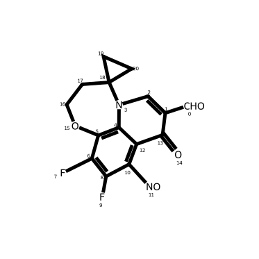 O=Cc1cn2c3c(c(F)c(F)c(N=O)c3c1=O)OCCC21CC1